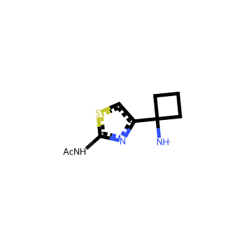 CC(=O)Nc1nc(C2([NH])CCC2)cs1